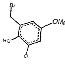 COc1cc(Cl)c(O)c(CBr)c1